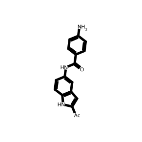 CC(=O)c1cc2cc(NC(=O)c3ccc(N)cc3)ccc2[nH]1